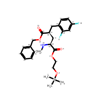 C[Si](C)(C)OCCOC(=O)[C@H](C[C@H](Cc1ccc(F)cc1F)C(=O)OCc1ccccc1)NC=O